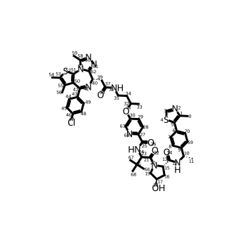 Cc1ncsc1-c1ccc([C@H](C)NC(=O)[C@@H]2C[C@@H](O)CN2C(=O)C(NC(=O)c2ccc(OC(C)CCNC(=O)C[C@@H]3N=C(c4ccc(Cl)cc4)c4c(sc(C)c4C)-n4c(C)nnc43)cn2)C(C)(C)C)cc1